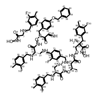 Cc1ccc(CNCC(=O)NO)cc1F.Cc1ccc(CN[C@@H](CN)C(=O)NON(Cc2ccc(OCc3ccccc3)cc2)C(=O)C=N)cc1F.Cc1ccc(CN[C@@H](CS)C(=O)NO[C@H](C)[C@H](NCc2ccc(C)c(F)c2)C(=O)NOC[C@@](N)(Cc2ccc(C)c(F)c2)C(=O)NO)cc1F